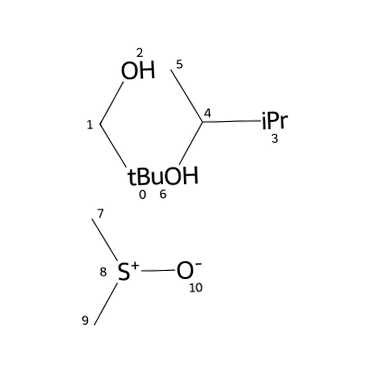 CC(C)(C)CO.CC(C)C(C)O.C[S+](C)[O-]